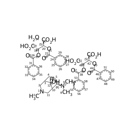 CN1CC2CC[C@@H](N(C)C)C(C1)[C@@H]2O.O.O=C(O[C@H](C(=O)O)[C@H](OC(=O)c1ccccc1)C(=O)O)c1ccccc1.O=C(O[C@H](C(=O)O)[C@H](OC(=O)c1ccccc1)C(=O)O)c1ccccc1